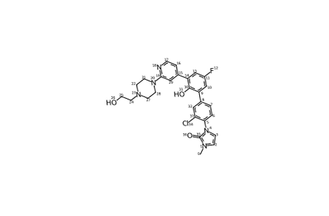 Cn1ccn(-c2ccc(-c3cc(F)cc(-c4ccnc(N5CCN(CCO)CC5)c4)c3O)cc2Cl)c1=O